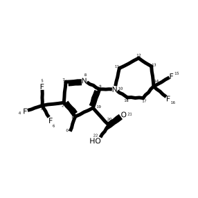 Cc1c(C(F)(F)F)cnc(N2CCCC(F)(F)CC2)c1C(=O)O